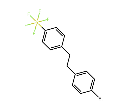 CCc1ccc(CCc2ccc(S(F)(F)(F)(F)F)cc2)cc1